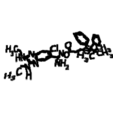 CCNc1nc2cc(Cl)c(/C(N)=N/OC(=O)CCO[Si](c3ccccc3)(c3ccccc3)C(C)(C)C)cc2nc1NCC